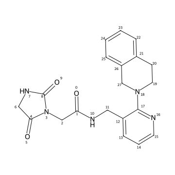 O=C(CN1C(=O)CNC1=O)NCc1cccnc1N1CCc2ccccc2C1